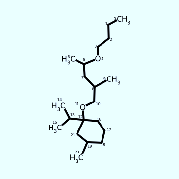 CCCCOC(C)CC(C)COC1(C(C)C)CCCC(C)C1